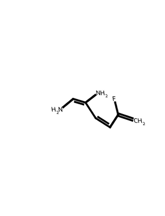 C=C(F)/C=C\C(N)=C/N